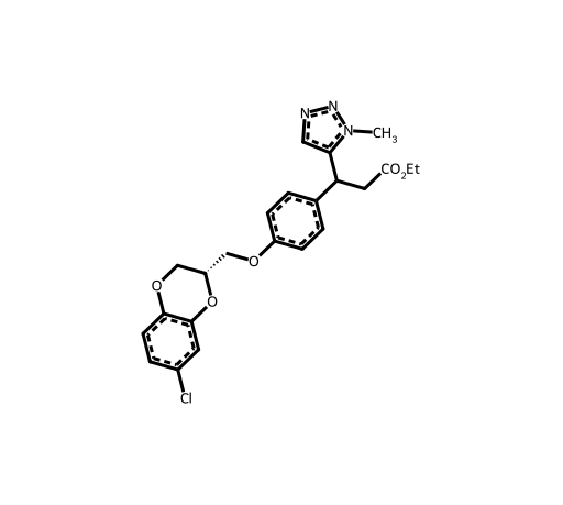 CCOC(=O)CC(c1ccc(OC[C@H]2COc3ccc(Cl)cc3O2)cc1)c1cnnn1C